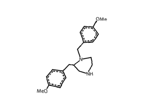 COc1ccc(CC2CNCCN2Cc2ccc(OC)cc2)cc1